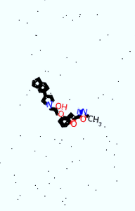 Cc1nnc(-c2cc3c(OC[C@@H](O)CN4CCC(c5ccc6c(c5)CCC6)CC4)cccc3o2)o1